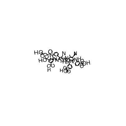 Cc1c(C#N)c(Nc2cccc(S(=O)(=O)O)c2)nc(Nc2cccc(S(=O)(=O)O)c2)c1N=Nc1sc(N=Nc2cc(C(=O)O)cc(C(=O)O)c2)c(-c2cccc(NC(=O)CCC(=O)O)c2)c1C#N